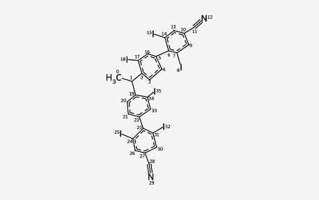 CC(c1ccc(-c2c(I)cc(C#N)cc2I)cc1I)c1ccc(-c2c(I)cc(C#N)cc2I)cc1I